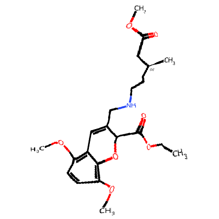 CCOC(=O)C1Oc2c(OC)ccc(OC)c2C=C1CNCC[C@H](C)CC(=O)OC